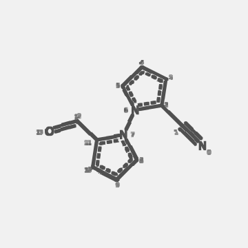 N#Cc1cccn1-n1cccc1C=O